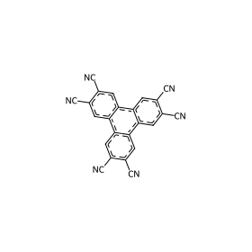 N#Cc1cc2c3cc(C#N)c(C#N)cc3c3cc(C#N)c(C#N)cc3c2cc1C#N